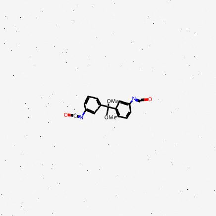 COC(OC)(c1cccc(N=C=O)c1)c1cccc(N=C=O)c1